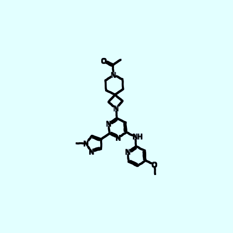 COc1ccnc(Nc2cc(N3CC4(CCN(C(C)=O)CC4)C3)nc(-c3cnn(C)c3)n2)c1